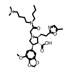 CCCCN(CCCCN(C)C)C(=O)CN1C[C@H](c2cc(OC)c3c(c2)OCO3)[C@@H](C(=O)O)[C@@H]1CCc1ncc(C)o1